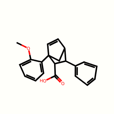 COc1ccccc1C12C=CC(C1)C(c1ccccc1)C2C(=O)O